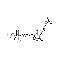 CC(=O)OCCSSC[C@H](NC(=O)CCCOCCNC(C)C)C(=O)O